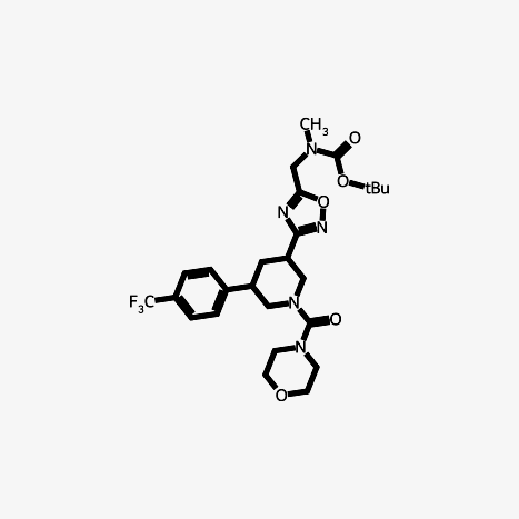 CN(Cc1nc(C2CC(c3ccc(C(F)(F)F)cc3)CN(C(=O)N3CCOCC3)C2)no1)C(=O)OC(C)(C)C